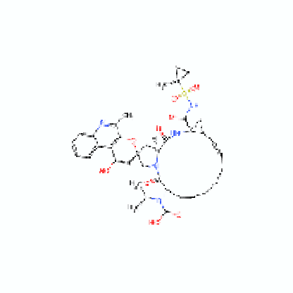 Cc1nc2ccccc2c2c1O[C@]1(CC2O)C[C@H]2C(=O)N[C@]3(C(=O)NS(=O)(=O)C4(C)CC4)CC3/C=C\CCCCC[C@H](N(C(=O)O)C(C)C)C(=O)N2C1